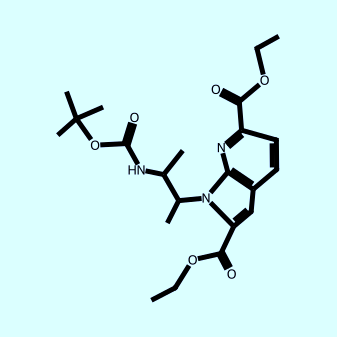 CCOC(=O)c1ccc2cc(C(=O)OCC)n(C(C)C(C)NC(=O)OC(C)(C)C)c2n1